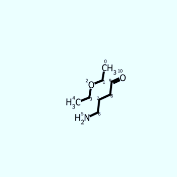 CCOCC.NCCCC=O